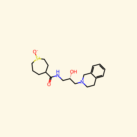 O=C(NC[C@H](O)CN1CCc2ccccc2C1)C1CCC[S+]([O-])CC1